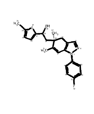 CC1=Cc2c(cnn2-c2ccc(F)cc2)C[C@]1(C)CC(O)c1ccc(C)s1